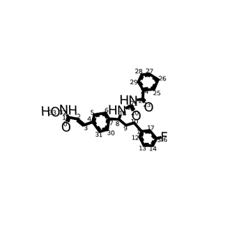 O=C(C=Cc1ccc(C(CCc2cccc(F)c2)NC(=O)NC(=O)c2ccccc2)cc1)NO